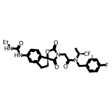 CCNC(=O)Nc1ccc2c(c1)CC[C@]21OC(=O)N(CC(=O)N(Cc2ccc(F)cc2)[C@@H](C)C(F)(F)F)C1=O